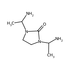 CC(N)N1CCN(C(C)N)C1=O